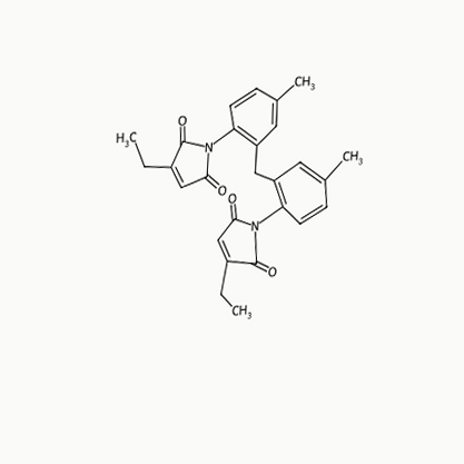 CCC1=CC(=O)N(c2ccc(C)cc2Cc2cc(C)ccc2N2C(=O)C=C(CC)C2=O)C1=O